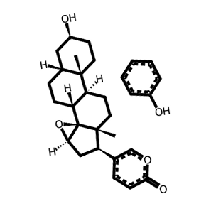 C[C@]12CC[C@H](O)C[C@H]1CC[C@@H]1[C@@H]2CC[C@]2(C)[C@@H](c3ccc(=O)oc3)C[C@H]3O[C@]132.Oc1ccccc1